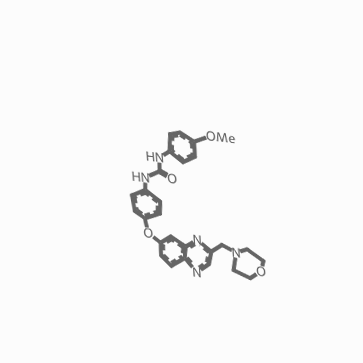 COc1ccc(NC(=O)Nc2ccc(Oc3ccc4ncc(CN5CCOCC5)nc4c3)cc2)cc1